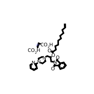 C=CCCCCCCCCC(=O)OC(CN1CCN(c2ccccn2)CC1)CN1C(=O)c2ccccc2C1=O.O=C(O)/C=C\C(=O)O